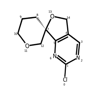 Clc1ncc2c(n1)[C@]1(CCCOC1)OC2